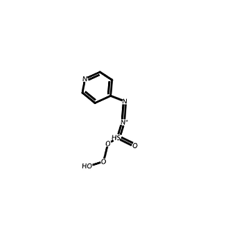 O=[SH](=[N+]=Nc1ccncc1)OOO